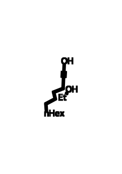 CCCCCCCCCCC#CO.CCO